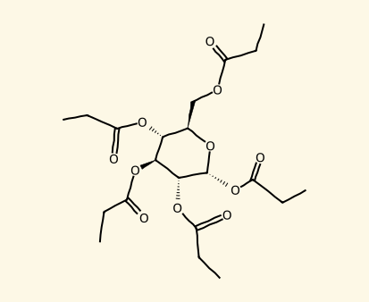 CCC(=O)OC[C@H]1O[C@H](OC(=O)CC)[C@H](OC(=O)CC)[C@@H](OC(=O)CC)[C@@H]1OC(=O)CC